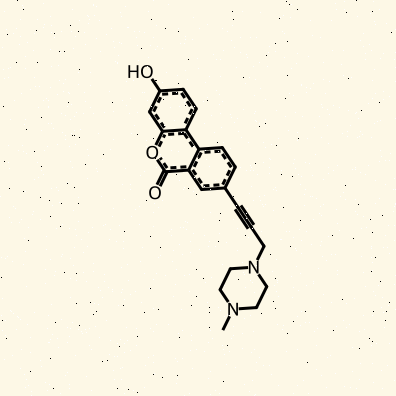 CN1CCN(CC#Cc2ccc3c(c2)c(=O)oc2cc(O)ccc23)CC1